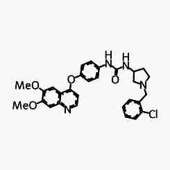 COc1cc2nccc(Oc3ccc(NC(=O)NC4CCN(Cc5ccccc5Cl)C4)cc3)c2cc1OC